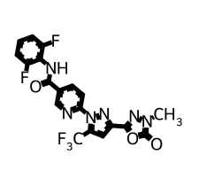 Cn1nc(-c2cc(C(F)(F)F)n(-c3ccc(C(=O)Nc4c(F)cccc4F)cn3)n2)oc1=O